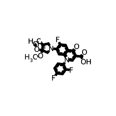 COC1(OC)CN(c2cc3c(cc2F)c(=O)c(C(=O)O)cn3-c2ccc(F)cc2F)CC1C